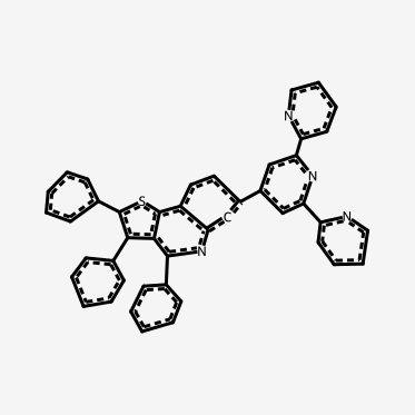 c1ccc(-c2sc3c(c(-c4ccccc4)nc4cc(-c5cc(-c6ccccn6)nc(-c6ccccn6)c5)ccc43)c2-c2ccccc2)cc1